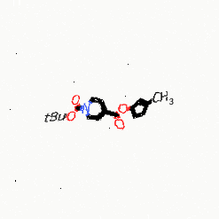 CC1=CC(OC(=O)C2CCN(C(=O)OC(C)(C)C)CC2)CC1